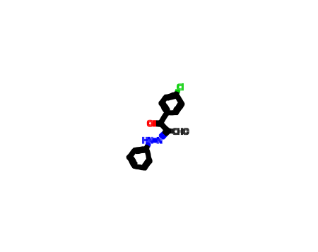 O=CC(=NNc1ccccc1)C(=O)c1ccc(Cl)cc1